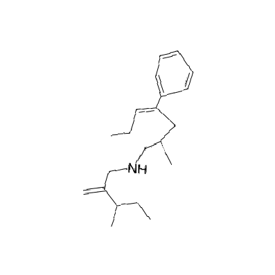 C=C(CNCC(C)C/C(=C\CC)c1ccccc1)C(C)CC